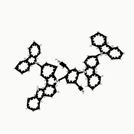 N#Cc1cc(-n2c3ccc(-n4c5ccccc5c5ccccc54)cc3c3c4oc5ccccc5c4ccc32)c(C#N)cc1-n1c2ccccc2c2cc(-n3c4ccccc4c4ccccc43)ccc21